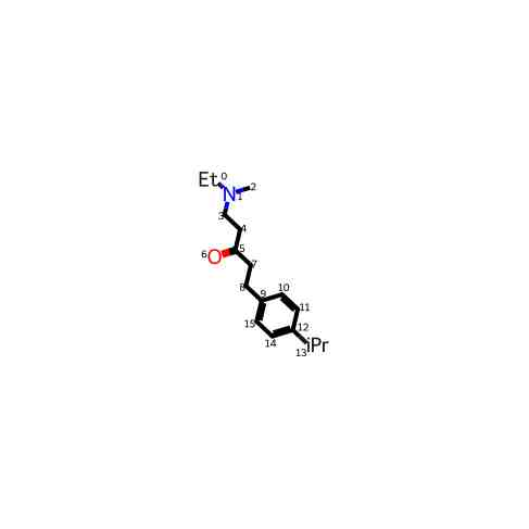 CCN(C)CCC(=O)CCc1ccc(C(C)C)cc1